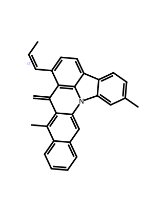 C=c1c2c(C)c3ccccc3cc2n2c3cc(C)ccc3c3ccc(/C=C\C)c1c32